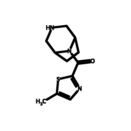 Cc1cnc(C(=O)N2C3CCC2CNC3)s1